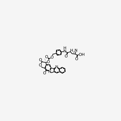 C[C@@]1(OC(=O)OCc2ccc(NC(=O)CCC(N)C(=O)O)cc2)C(=O)OCc2c1cc1n(c2=O)Cc2cc3ccccc3nc2-1